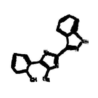 Oc1ccccc1-c1sc(-c2n[nH]c3ccccc23)nc1O